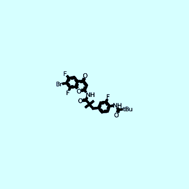 CC(C)(C)C(=O)Nc1ccc(CC(C)(C)C(=O)Nc2cc(=O)c3cc(F)c(Br)c(F)c3o2)cc1F